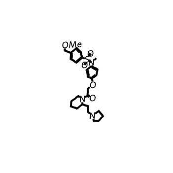 COCc1ccc(S(=O)(=O)N(C)c2ccc(OCC(=O)N3CCCCC3CCN3CCCC3)cc2)cc1